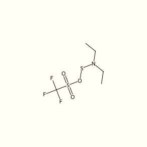 CCN(CC)SOS(=O)(=O)C(F)(F)F